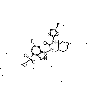 O=C(Nc1ncc(F)s1)[C@H](CC1CCOCC1)n1ncc2c(S(=O)(=O)C3CC3)cc(F)cc21